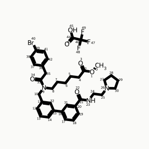 COC(=O)CCCCCN(Cc1cccc(-c2cccc(C(=O)NCCN3CCCC3)c2)c1)C(=O)Cc1ccc(Br)cc1.O=C(O)C(F)(F)F